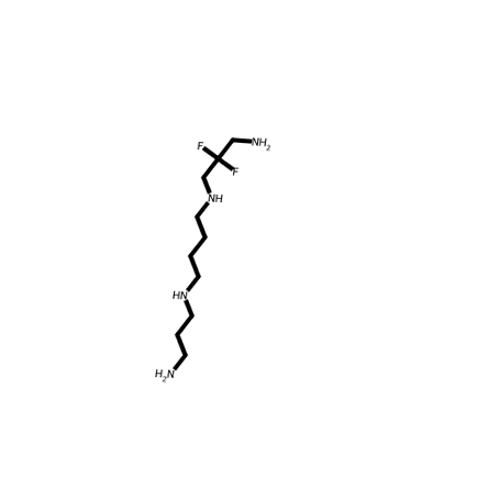 NCCCNCCCCNCC(F)(F)CN